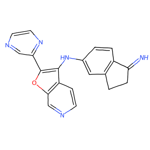 N=C1CCc2cc(Nc3c(-c4cnccn4)oc4cnccc34)ccc21